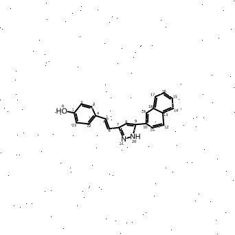 Oc1ccc(C=Cc2cc(-c3ccc4ccccc4c3)[nH]n2)cc1